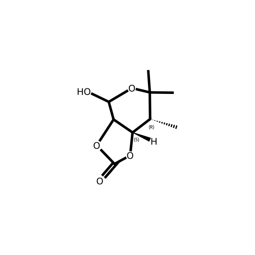 C[C@@H]1[C@@H]2OC(=O)OC2C(O)OC1(C)C